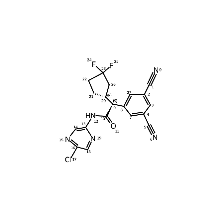 N#Cc1cc(C#N)cc([C@@H](C(=O)Nc2cnc(Cl)cn2)[C@@H]2CCC(F)(F)C2)c1